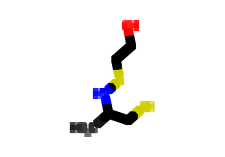 O=C(O)C(CS)NSCCO